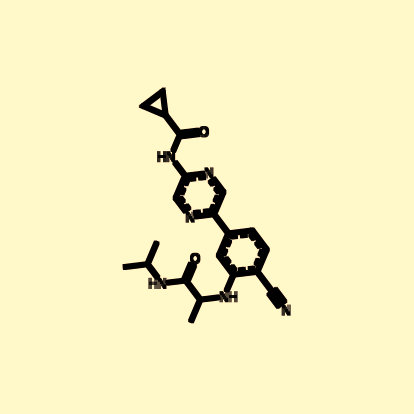 CC(C)NC(=O)C(C)Nc1cc(-c2cnc(NC(=O)C3CC3)cn2)ccc1C#N